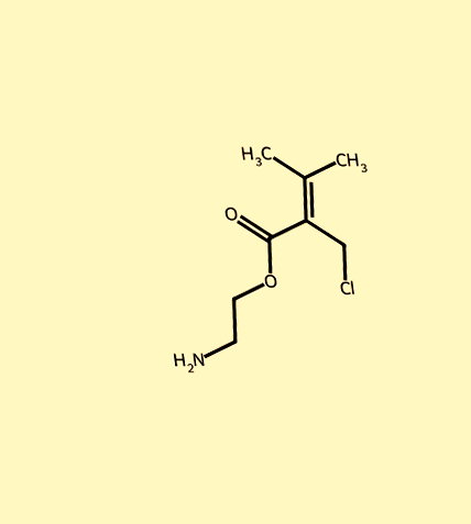 CC(C)=C(CCl)C(=O)OCCN